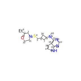 CCC1CN(SCC2CC(N(C)c3ncnc4[nH]ccc34)C2)CCO1